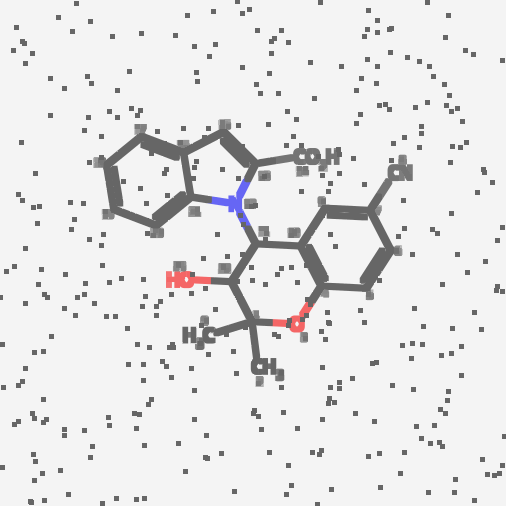 CC1(C)Oc2ccc(C#N)cc2C(n2c(C(=O)O)cc3ccccc32)C1O